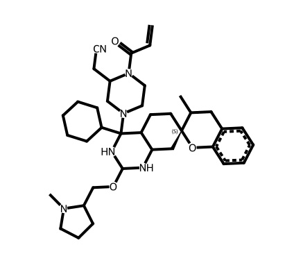 C=CC(=O)N1CCN(C2(C3CCCCC3)NC(OCC3CCCN3C)NC3C[C@]4(CCC32)Oc2ccccc2CC4C)CC1CC#N